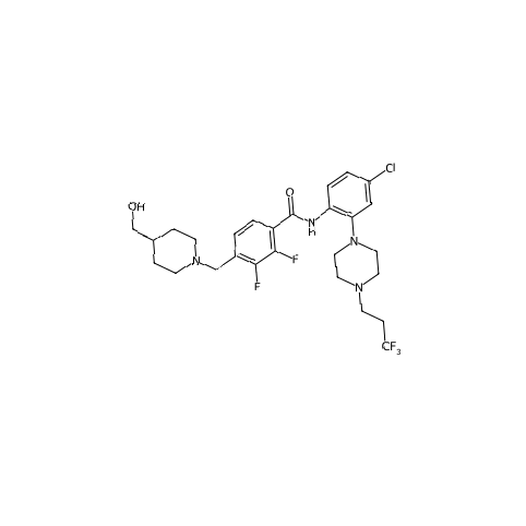 O=C(Nc1ccc(Cl)cc1N1CCN(CCC(F)(F)F)CC1)c1ccc(CN2CCC(CO)CC2)c(F)c1F